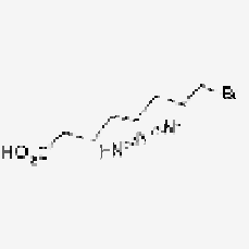 O=C(O)CCCCCCCBr.[N-]=[N+]=N